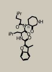 Cc1c(C(=O)NC(CC(C)C)C(=O)N(C(=O)CCC(C)C)[C@H]2CCCNCC2=O)oc2ccccc12